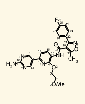 COCCOc1nc(-c2cnc(N)nc2)ccc1NC(=O)c1c(-c2ccc(F)cc2)noc1C